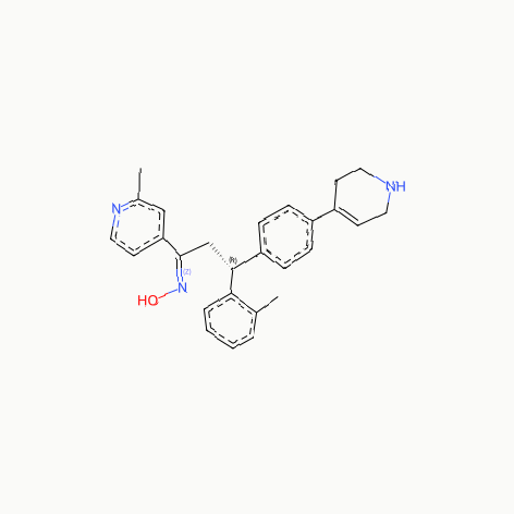 Cc1cc(/C(C[C@H](c2ccc(C3=CCNCC3)cc2)c2ccccc2C)=N\O)ccn1